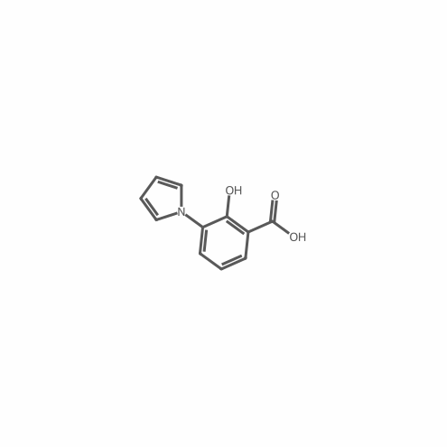 O=C(O)c1cccc(-n2cccc2)c1O